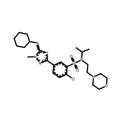 CC(C)N(CCN1CCOCC1)S(=O)(=O)c1cc(-c2nn(C)/c(=N\C3CCCCC3)s2)ccc1Cl